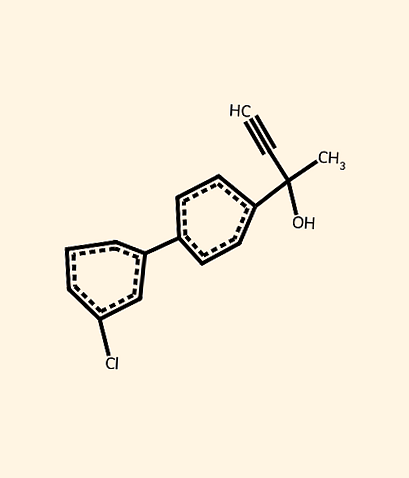 C#CC(C)(O)c1ccc(-c2cccc(Cl)c2)cc1